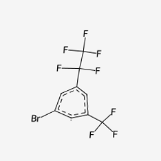 FC(F)(F)c1[c]c(Br)cc(C(F)(F)C(F)(F)F)c1